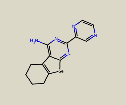 Nc1nc(-c2cnccn2)nc2[se]c3c(c12)CCCC3